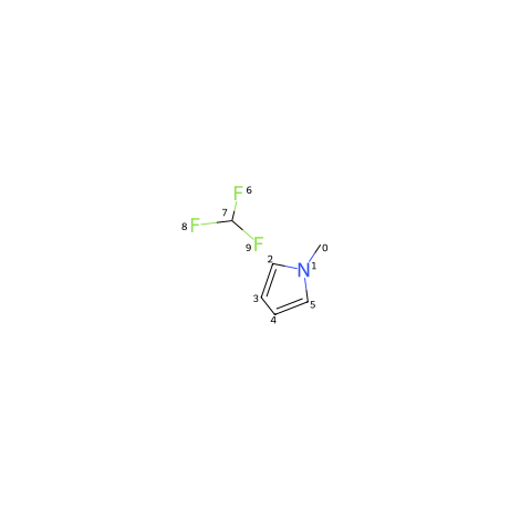 Cn1cccc1.FC(F)F